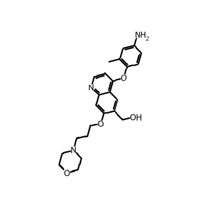 Cc1cc(N)ccc1Oc1ccnc2cc(OCCCN3CCOCC3)c(CO)cc12